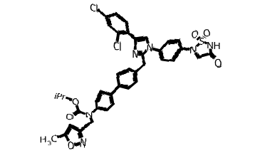 Cc1cc(CN(C(=O)OC(C)C)c2ccc(-c3ccc(Cc4nc(-c5ccc(Cl)cc5Cl)cn4-c4ccc(N5CC(=O)NS5(=O)=O)cc4)cc3)cc2)no1